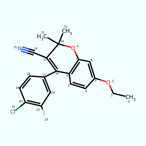 CCOc1ccc2c(c1)OC(C)(C)C(C#N)=C2c1ccc(Cl)c(F)c1